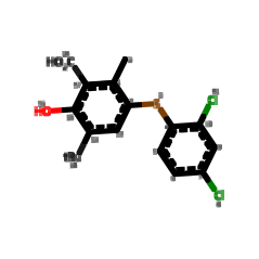 Cc1c(Sc2ccc(Cl)cc2Cl)cc(C(C)(C)C)c(O)c1C(=O)O